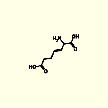 NC(/C=C/CCC(=O)O)C(=O)O